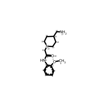 COc1ccccc1NC(=O)CN1CCC(CN)CC1